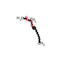 C=CCC(=O)OCC[C@@H](C)OCCOc1ccc(CCCCCCCCCCCC)cc1